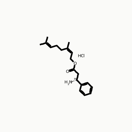 CC(C)=CCCC(C)=CCOC(=O)C[C@@H](N)c1ccccc1.Cl